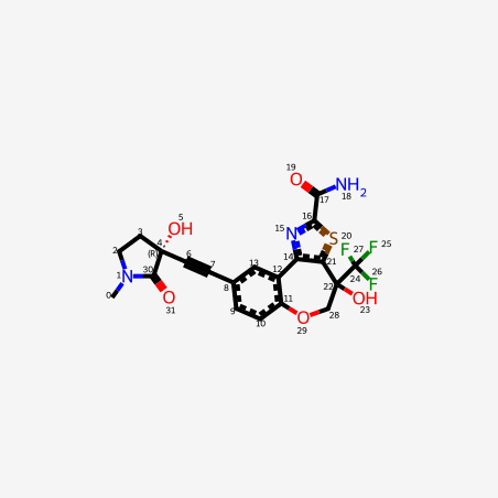 CN1CC[C@@](O)(C#Cc2ccc3c(c2)-c2nc(C(N)=O)sc2C(O)(C(F)(F)F)CO3)C1=O